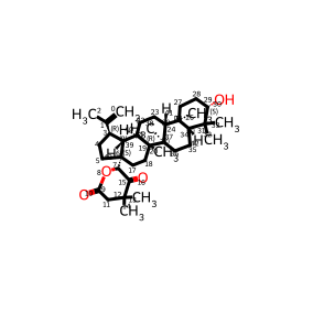 C=C(C)[C@@H]1CC[C@]2(C3OC(=O)CC(C)(C)C3=O)CC[C@]3(C)[C@H](CC[C@@H]4[C@@]5(C)CC[C@H](O)C(C)(C)[C@@H]5CC[C@]43C)[C@@H]12